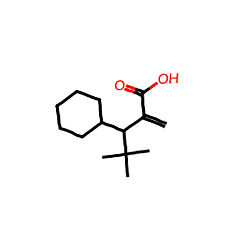 C=C(C(=O)O)C(C1CCCCC1)C(C)(C)C